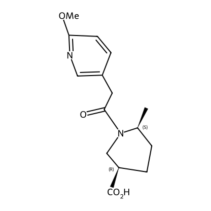 COc1ccc(CC(=O)N2C[C@H](C(=O)O)CC[C@@H]2C)cn1